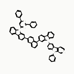 c1ccc(-c2cc(-n3c4ccccc4c4ccc(-c5ccc6c(-c7ccc8c9ccccc9n(-c9ccc%10c(c9)c9ccncc9n%10-c9ccccc9)c8c7)cccc6c5)cc43)nc(-c3ccccc3)n2)cc1